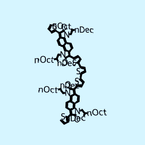 CCCCCCCCCCC(CCCCCCCC)CN1C(=O)C(c2cccs2)=c2ccc3c4c(ccc3c21)=C(c1ccc(-c2ccc(-c3ccc(C5=c6ccc7c8c(ccc7c6N(CC(CCCCCCCC)CCCCCCCCCC)C5=O)=C(c5cccs5)C(=O)N8CC(CCCCCCCC)CCCCCCCCCC)s3)s2)s1)C(=O)N4CC(CCCCCCCC)CCCCCCCCCC